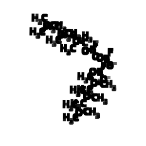 C[O+](C)C.C[O+](C)C.C[O+](C)C.C[O+](C)C.C[O+](C)C.C[O+](C)C.[O-]B([O-])F.[O-]B([O-])F.[O-]B([O-])F